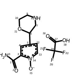 NC(=O)c1cc(C2CNCCO2)cc[n+]1[O-].O=C(O)C(F)(F)F